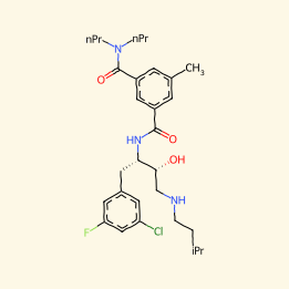 CCCN(CCC)C(=O)c1cc(C)cc(C(=O)N[C@@H](Cc2cc(F)cc(Cl)c2)[C@H](O)CNCCC(C)C)c1